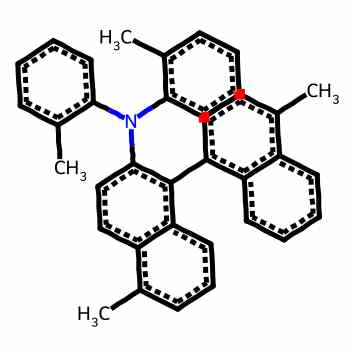 Cc1ccccc1N(c1ccccc1C)c1ccc2c(C)cccc2c1-c1ccc(C)c2ccccc12